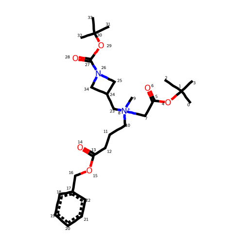 CC(C)(C)OC(=O)C[N+](C)(CCCC(=O)OCc1ccccc1)CC1CN(C(=O)OC(C)(C)C)C1